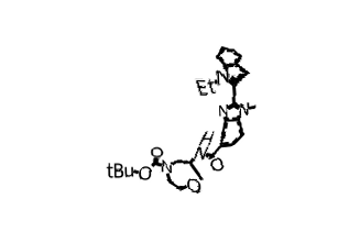 CCn1c(-c2nc3cc(C(=O)NC4COCCN(C(=O)OC(C)(C)C)C4)ccc3n2C)cc2ccccc21